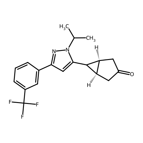 CC(C)n1nc(-c2cccc(C(F)(F)F)c2)cc1C1[C@H]2CC(=O)C[C@@H]12